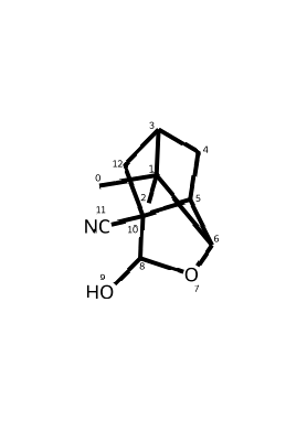 CC1(C)C2CC3C1OC(O)C3(C#N)C2